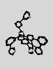 c1cncc(-c2cccc(-c3nc(-c4cccc(-c5cccnc5)c4)nc(-c4ccc5c(c4)C4(c6ccccc6-c6ccccc6-5)c5ccccc5-c5cc6ccccc6cc54)n3)c2)c1